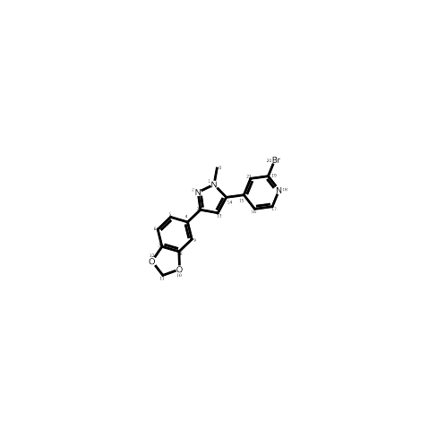 Cn1nc(-c2ccc3c(c2)OCO3)cc1-c1ccnc(Br)c1